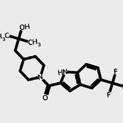 CC(C)(O)CC1CCN(C(=O)c2cc3cc(C(F)(F)F)ccc3[nH]2)CC1